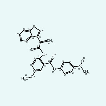 C=C(C(=O)Oc1ccc(OC)cc1C(=O)Oc1ccc([S+](C)[O-])cc1)C1=CCc2ccccc21